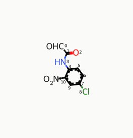 O=CC(=O)Nc1ccc(Cl)cc1[N+](=O)[O-]